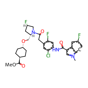 COC(=O)[C@H]1CC[C@H](OC[C@@H]2C[C@H](F)CN2C(=O)Cc2cc(Cl)c(NC(=O)c3cn(C)c4ccc(F)cc34)cc2F)CC1